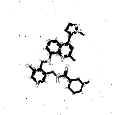 Cc1cc(-c2ccnn2C)c2cccc(OCc3c(Cl)cncc3CNC(=O)C3CCCC(C)C3)c2n1